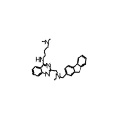 CN(C)CCCNc1nc(CN(C)Cc2ccc3c(c2)Cc2ccccc2-3)nc2ccccc12